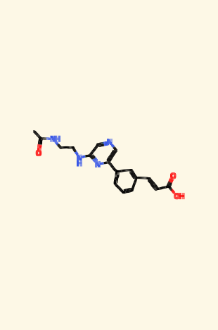 CC(=O)NCCNc1cncc(-c2cccc(C=CC(=O)O)c2)n1